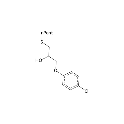 CCCCCSCC(O)COc1ccc(Cl)cc1